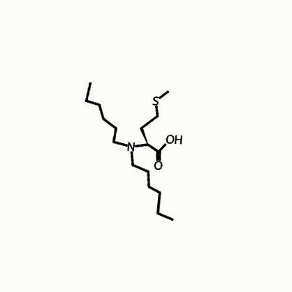 CCCCCCN(CCCCCC)[C@@H](CCSC)C(=O)O